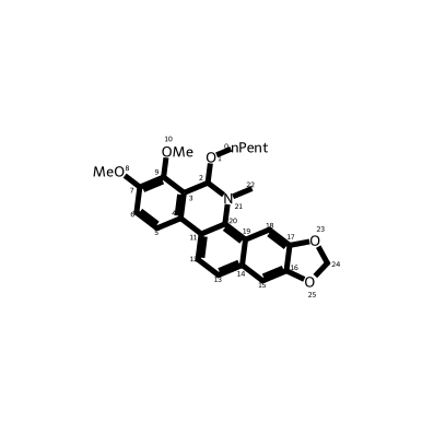 CCCCCOC1c2c(ccc(OC)c2OC)-c2ccc3cc4c(cc3c2N1C)OCO4